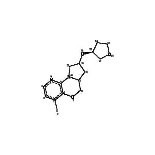 Ic1ccnc2c1OCC1CC(O[C@H]3CCOC3)CN21